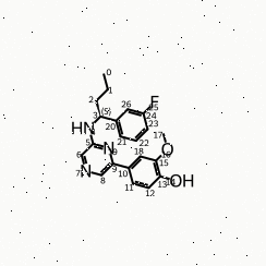 CCC[C@H](Nc1cncc(-c2ccc(O)c(OC)c2)n1)c1cccc(F)c1